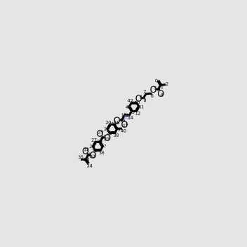 C=C(C)C(=O)OCCCOc1ccc(/C=C/C(=O)Oc2ccc(OC(=O)c3ccc(OC(=O)C(=C)C)cc3)cc2C)cc1